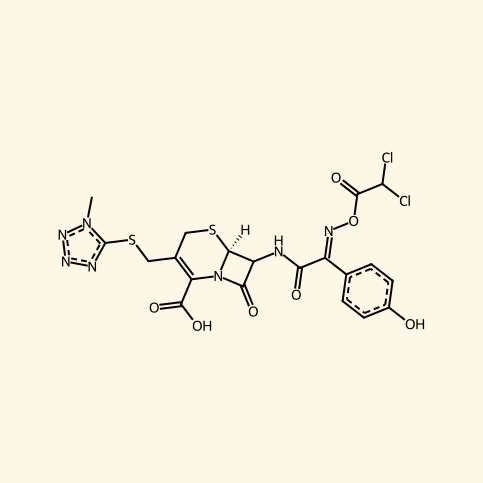 Cn1nnnc1SCC1=C(C(=O)O)N2C(=O)C(NC(=O)C(=NOC(=O)C(Cl)Cl)c3ccc(O)cc3)[C@@H]2SC1